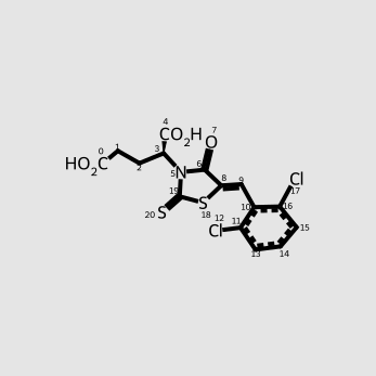 O=C(O)CC[C@@H](C(=O)O)N1C(=O)/C(=C/c2c(Cl)cccc2Cl)SC1=S